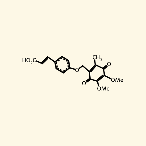 COC1=C(OC)C(=O)C(COc2ccc(/C=C/C(=O)O)cc2)=C(C)C1=O